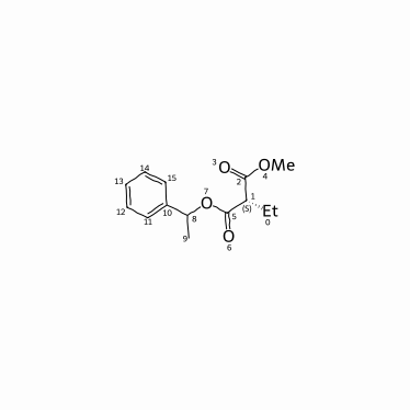 CC[C@@H](C(=O)OC)C(=O)OC(C)c1ccccc1